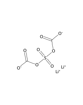 O=C([O-])OS(=O)(=O)OC(=O)[O-].[Li+].[Li+]